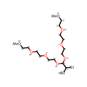 CCCCC(CC)C(OCCOCCOCCOC)OCCOCCOCCOC